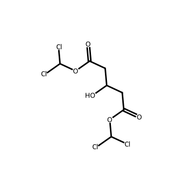 O=C(CC(O)CC(=O)OC(Cl)Cl)OC(Cl)Cl